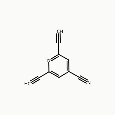 C#Cc1cc(C#N)cc(C#C)n1